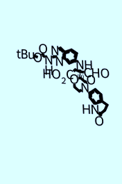 CC(C)(C)OC(=O)Nc1ncc2ccc(NC(C=O)(CC(=O)O)[C@H]3OCCN(c4ccc5c(c4)NC(=O)CC5)C3=O)cc2n1